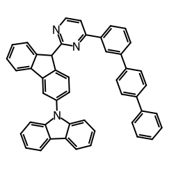 c1ccc(-c2ccc(-c3cccc(-c4ccnc(C5c6ccccc6-c6cc(-n7c8ccccc8c8ccccc87)ccc65)n4)c3)cc2)cc1